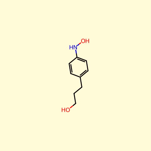 OCCCc1ccc(NO)cc1